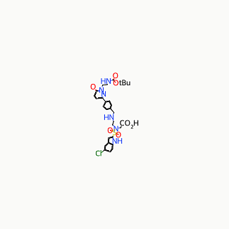 CC(C)(C)OC(=O)NCCn1nc(-c2ccc(CNCCN(CC(=O)O)S(=O)(=O)c3cc4cc(Cl)ccc4[nH]3)cc2)ccc1=O